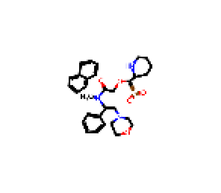 CN(C(=O)COC(C1CCCCN1)=S(=O)=O)C(CN1CCOCC1)c1ccccc1.c1ccc2ccccc2c1